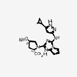 CO[C@@H]1C[C@@H](C(=O)O)N(c2nc(Nc3cc(C4CC4)[nH]n3)n3cccc3n2)C1